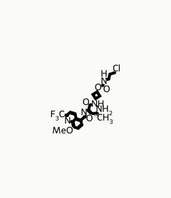 COc1ccc(-c2nc(C(=O)N[C@H]3C[C@@H](OC(=O)NCCCCl)C3)c([C@H](C)N)o2)c2ccc(C(F)(F)F)nc12